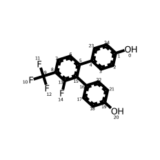 Oc1ccc(-c2ccc(C(F)(F)F)c(F)c2-c2ccc(O)cc2)cc1